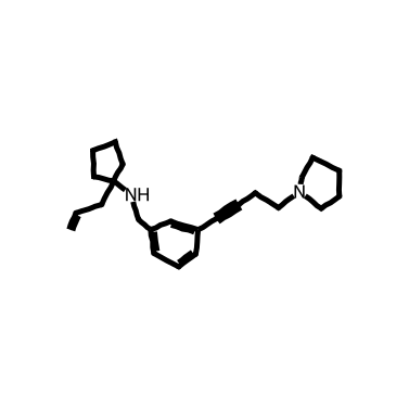 C=CCC1(NCc2cccc(C#CCCN3CCCCC3)c2)CCCC1